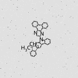 CC1(C)c2ccccc2-c2cc3c4ccccc4n(-c4cnc5c6ccccc6c6ccccc6c5n4)c3cc21